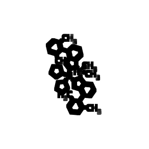 Cc1cccc(C)c1-c1cccc2c1C=C1[CH]2[Hf]([CH3])([CH3])[CH]2C(=Cc3c(-c4c(C)cccc4C)cccc32)[Si]1(C1CCCC1)C1CCCC1